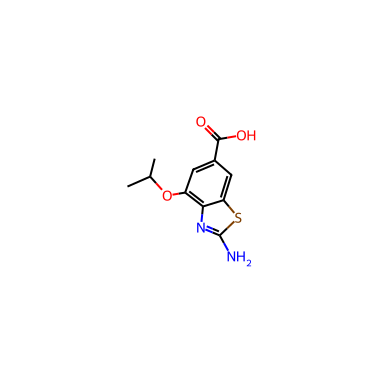 CC(C)Oc1cc(C(=O)O)cc2sc(N)nc12